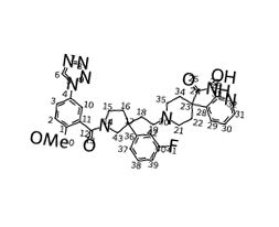 COc1ccc(-n2cnnn2)cc1C(=O)N1CCC(CCN2CCC(C(=O)NO)(c3cccnc3)CC2)(c2cccc(F)c2)C1